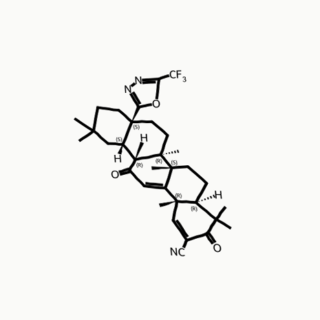 CC1(C)CC[C@]2(c3nnc(C(F)(F)F)o3)CC[C@]3(C)[C@H](C(=O)C=C4[C@@]5(C)C=C(C#N)C(=O)C(C)(C)[C@@H]5CC[C@]43C)[C@@H]2C1